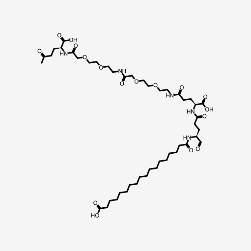 CC(=O)CC[C@H](NC(=O)COCCOCCNC(=O)COCCOCCNC(=O)CC[C@H](NC(=O)CC[C@@H](C=O)NC(=O)CCCCCCCCCCCCCCCCC(=O)O)C(=O)O)C(=O)O